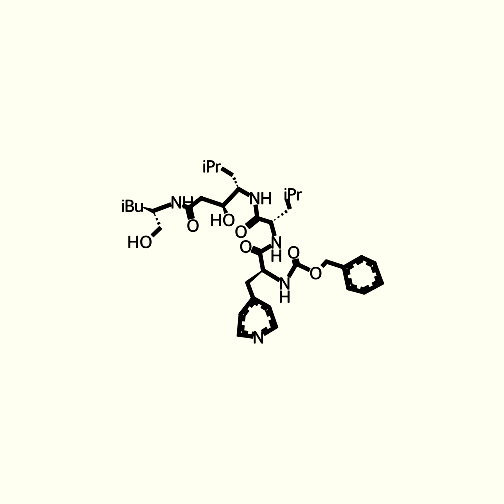 CC[C@H](C)[C@@H](CO)NC(=O)C[C@H](O)[C@H](CC(C)C)NC(=O)[C@H](CC(C)C)NC(=O)[C@H](Cc1ccncc1)NC(=O)OCc1ccccc1